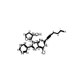 CCCCC#Cc1nc(Cl)c2nc(-c3cncnc3)n([C@@H]3OCC[C@H]3O)c2n1